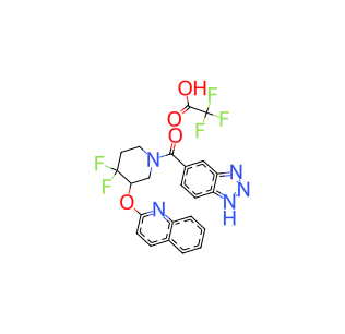 O=C(O)C(F)(F)F.O=C(c1ccc2[nH]nnc2c1)N1CCC(F)(F)C(Oc2ccc3ccccc3n2)C1